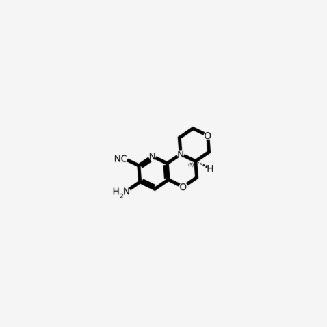 N#Cc1nc2c(cc1N)OC[C@@H]1COCCN21